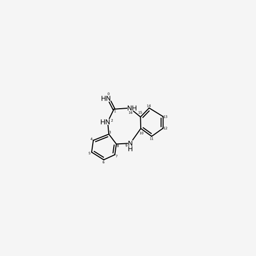 N=c1[nH]c2ccccc2[nH]c2ccccc2[nH]1